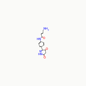 NC/C=C/C(=O)Nc1ccc(C2=NNC(=O)CC2=O)cc1